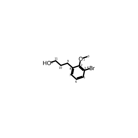 COc1c(Br)cccc1CCCO